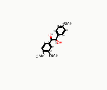 COc1ccc(C(=O)C(O)c2ccc(SC)cc2)cc1OC